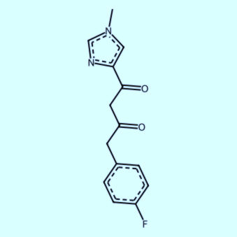 Cn1cnc(C(=O)CC(=O)Cc2ccc(F)cc2)c1